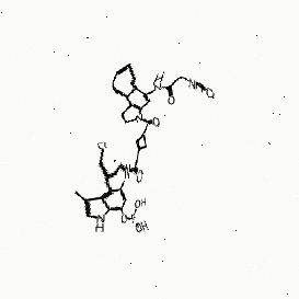 Cc1c[nH]c2c(OP(O)O)cc3c(c12)C(CCl)CN3C(=O)C12CC(C(=O)N3CCc4c3cc(NC(=O)CNC=O)c3ccccc43)(C1)C2